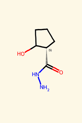 NNC(=O)[C@H]1CCCC1O